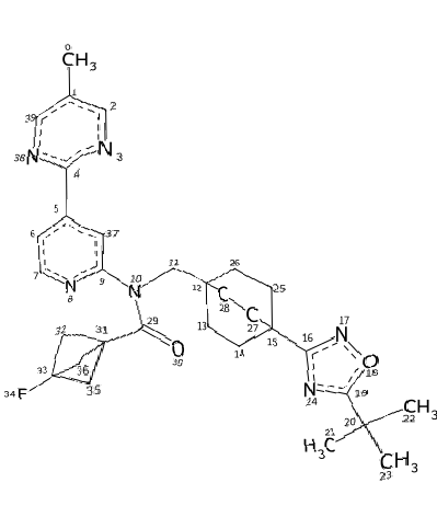 Cc1cnc(-c2ccnc(N(CC34CCC(c5noc(C(C)(C)C)n5)(CC3)CC4)C(=O)C34CC(F)(C3)C4)c2)nc1